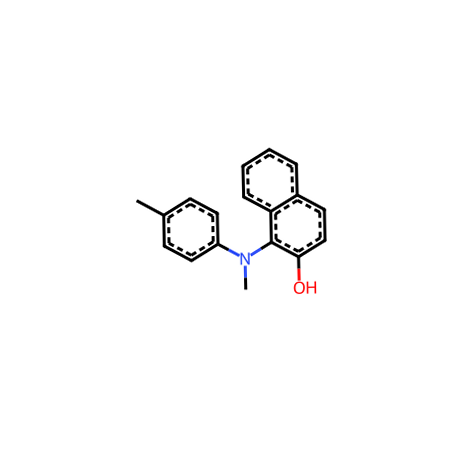 Cc1ccc(N(C)c2c(O)ccc3ccccc23)cc1